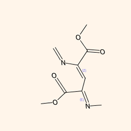 C=N/C(=C\C(=N/C)C(=O)OC)C(=O)OC